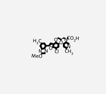 COc1cnc2c(-c3cc4c5c(cc(Cl)c4o3)O[C@H](CN(C(=O)O)c3ccc(C)nc3)CO5)cc(C)cc2n1